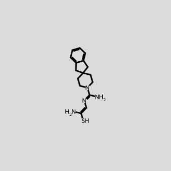 N/C(S)=C\N=C(/N)N1CCC2(CC1)Cc1ccccc1C2